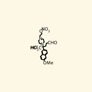 COc1ccc2cc([C@@](CCC=O)(C(=O)O)N3CCN(CCO[N+](=O)[O-])CC3)ccc2c1.Cl